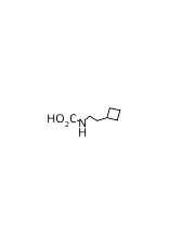 O=C(O)NCCC1CCC1